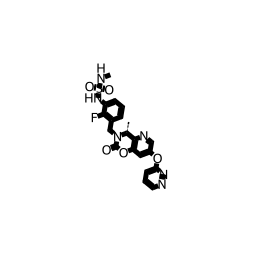 CNS(=O)(=O)Nc1cccc(CN2C(=O)Oc3cc(Oc4cccnn4)cnc3[C@H]2C)c1F